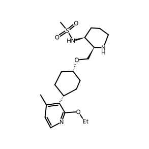 CCOc1nccc(C)c1[C@H]1CC[C@@H](OC[C@@H]2NCCC[C@@H]2NS(C)(=O)=O)CC1